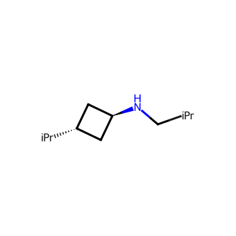 CC(C)CN[C@H]1C[C@H](C(C)C)C1